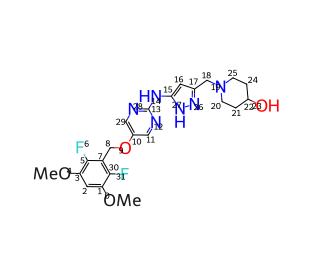 COc1cc(OC)c(F)c(COc2cnc(Nc3cc(CN4CCC(O)CC4)n[nH]3)nc2)c1F